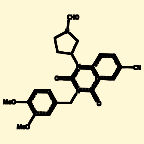 COc1ccc(Cn2c(=O)c3cc(C#N)ccc3n(C3CCN(C=O)C3)c2=O)cc1OC